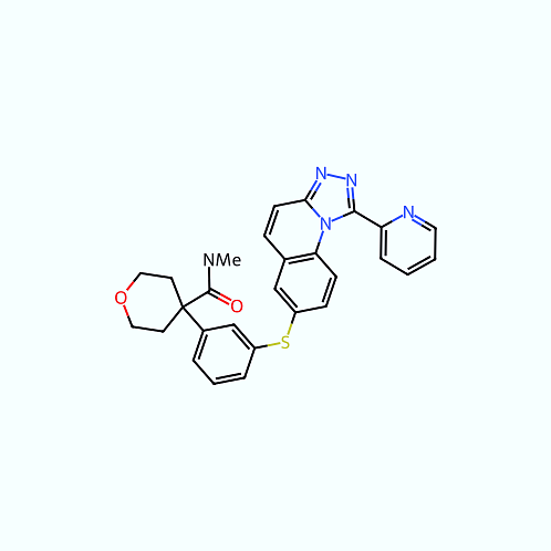 CNC(=O)C1(c2cccc(Sc3ccc4c(ccc5nnc(-c6ccccn6)n54)c3)c2)CCOCC1